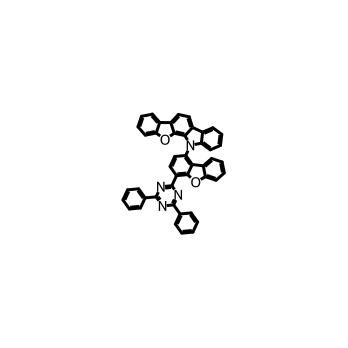 c1ccc(-c2nc(-c3ccccc3)nc(-c3ccc(-n4c5ccccc5c5ccc6c7ccccc7oc6c54)c4c3oc3ccccc34)n2)cc1